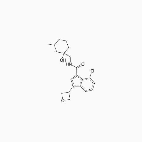 CC1CCCC(O)(CNC(=O)c2cn(C3COC3)c3cccc(Cl)c23)C1